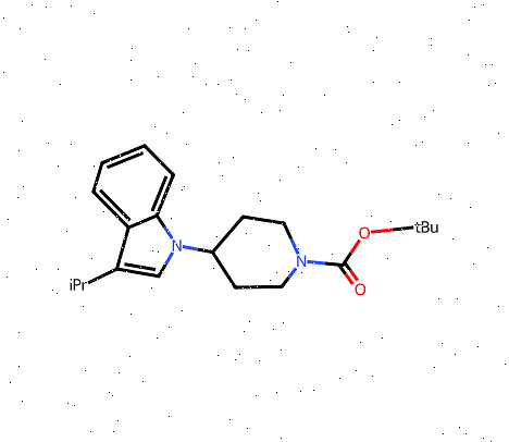 CC(C)c1cn(C2CCN(C(=O)OC(C)(C)C)CC2)c2ccccc12